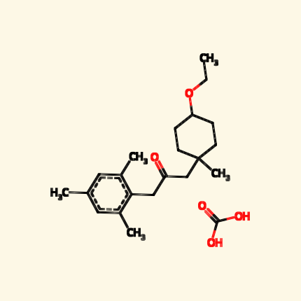 CCOC1CCC(C)(CC(=O)Cc2c(C)cc(C)cc2C)CC1.O=C(O)O